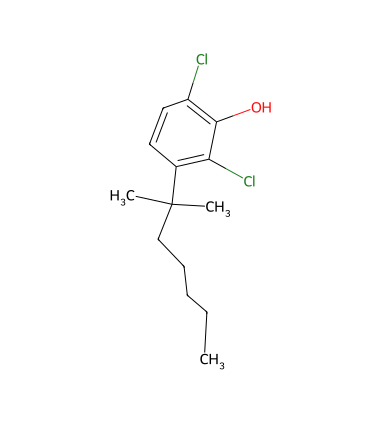 CCCCCC(C)(C)c1ccc(Cl)c(O)c1Cl